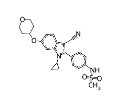 CS(=O)(=O)Nc1ccc(-c2c(C#N)c3ccc(OC4CCOCC4)cc3n2C2CC2)cc1